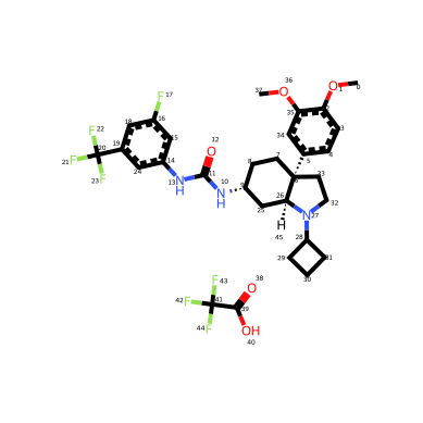 COc1ccc([C@@]23CC[C@@H](NC(=O)Nc4cc(F)cc(C(F)(F)F)c4)C[C@@H]2N(C2CCC2)CC3)cc1OC.O=C(O)C(F)(F)F